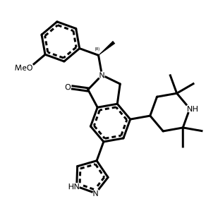 COc1cccc([C@@H](C)N2Cc3c(cc(-c4cn[nH]c4)cc3C3CC(C)(C)NC(C)(C)C3)C2=O)c1